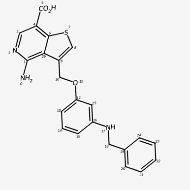 Nc1ncc(C(=O)O)c2scc(COc3cccc(NCc4ccccc4)c3)c12